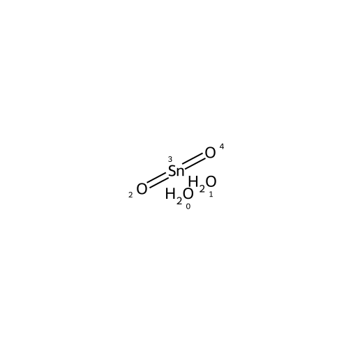 O.O.[O]=[Sn]=[O]